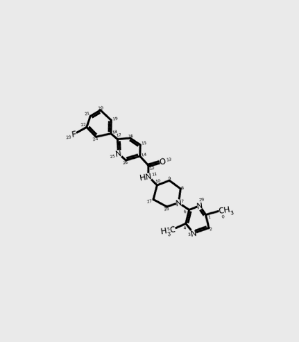 Cc1cnc(C)c(N2CCC(NC(=O)c3ccc(-c4cccc(F)c4)nc3)CC2)n1